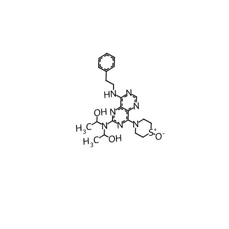 CC(O)N(c1nc(N2CC[S+]([O-])CC2)c2ncnc(NCCc3ccccc3)c2n1)C(C)O